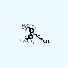 COCCOCCn1c2ccc(C(C)(C)C)cc2c2cc(C(C)(C)C)ccc21